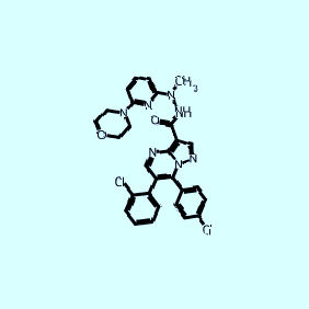 CN(NC(=O)c1cnn2c(-c3ccc(Cl)cc3)c(-c3ccccc3Cl)cnc12)c1cccc(N2CCOCC2)n1